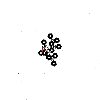 c1ccc(-c2nc(-c3ccccc3)nc(-c3c(-n4c5ccccc5c5ccc6c(c7ccccc7n6-c6ccccc6)c54)ccc4c3c3ccc5c(c6ccccc6n5-c5ccccc5)c3n4-c3ccccc3)n2)cc1